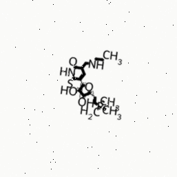 C=P(C)(C)CC[C@H]1O[C@@H](C2=CC(CNCCC)C(=O)NC2=S)[C@H](O)[C@@H]1O